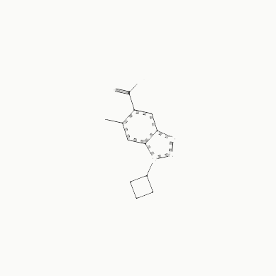 O=C(O)c1cc2nnn(C3CCC3)c2cc1Cl